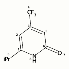 CC(C)c1cc(C(F)(F)F)cc(=O)[nH]1